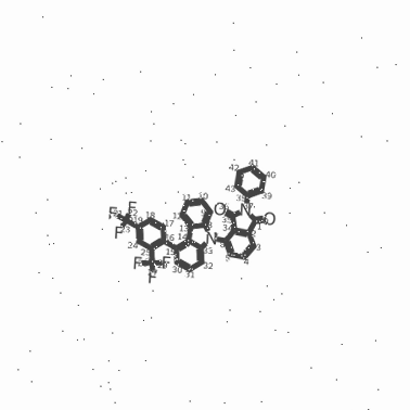 O=C1c2cccc(-n3c4ccccc4c4c(-c5ccc(C(F)(F)F)cc5C(F)(F)F)cccc43)c2C(=O)N1c1ccccc1